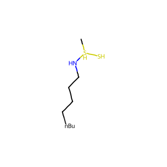 CCCCCCCCN[SH](C)S